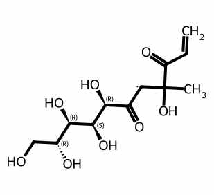 C=CC(=O)C(C)(O)[CH]C(=O)[C@H](O)[C@@H](O)[C@H](O)[C@H](O)CO